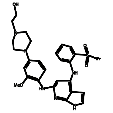 COc1cc(N2CCN(CCO)CC2)ccc1Nc1cc(Nc2ccccc2S(=O)(=O)C(C)C)c2cc[nH]c2n1